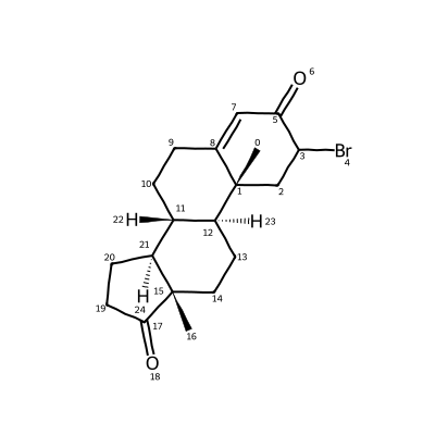 C[C@]12CC(Br)C(=O)C=C1CC[C@@H]1[C@@H]2CC[C@]2(C)C(=O)CC[C@@H]12